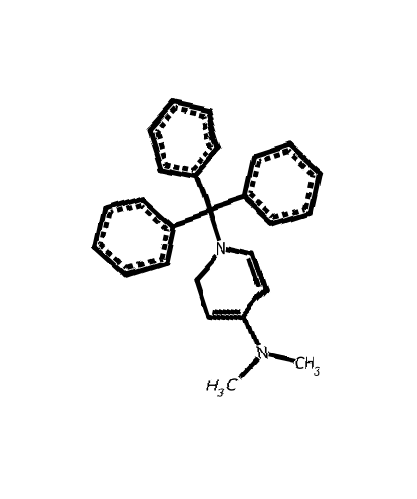 CN(C)C1=CCN(C(c2ccccc2)(c2ccccc2)c2ccccc2)C=C1